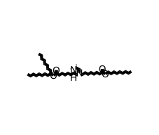 CCCCCCCCCOC(=O)CCCCCCCN(CCCCCCCC(=O)OC(CCCCCCCC)CCCCCCCC)C[C@@H](C)NC